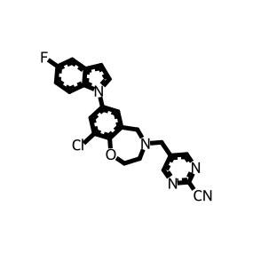 N#Cc1ncc(CN2CCOc3c(Cl)cc(-n4ccc5cc(F)ccc54)cc3C2)cn1